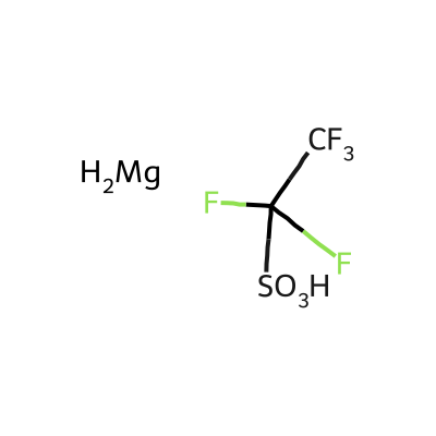 O=S(=O)(O)C(F)(F)C(F)(F)F.[MgH2]